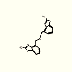 Sc1nc2c(COCc3cccc4sc(S)nc34)cccc2s1